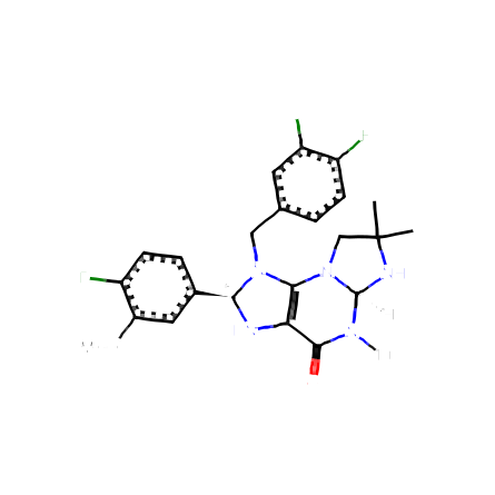 CCN1C(=O)C2=C(N3CC(C)(C)N[C@@H]13)N(Cc1ccc(F)c(F)c1)[C@H](c1ccc(F)c(OC)c1)N2